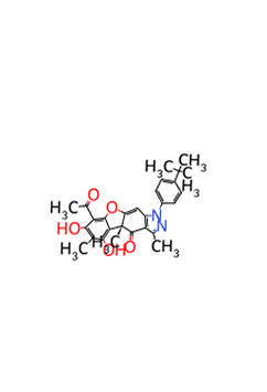 CC(=O)c1c(O)c(C)c(O)c2c1OC1=Cc3c(c(C)nn3-c3ccc(C(C)(C)C)cc3)C(=O)[C@@]12C